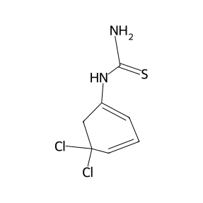 NC(=S)NC1=CC=CC(Cl)(Cl)C1